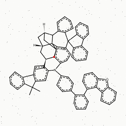 CC[C@H]1C[C@@H]2C[C@@H]3C[C@H](C1)C21c2cc(N(c4ccc(-c5ccccc5-c5cccc6oc7ccccc7c56)cc4)c4ccc5c(c4)C(C)(C)c4ccccc4-5)ccc2C2(c4ccccc4-c4ccccc42)c2ccccc2C31